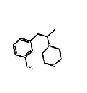 CC(Cc1cccc(N)c1)N1CCOCC1